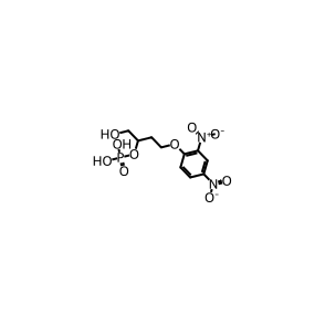 O=[N+]([O-])c1ccc(OCCC(CO)OP(=O)(O)O)c([N+](=O)[O-])c1